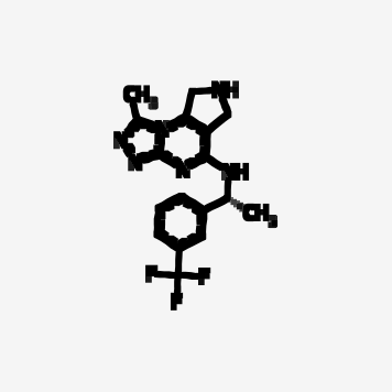 Cc1nnc2nc(N[C@H](C)c3cccc(C(F)(F)F)c3)c3c(n12)CNC3